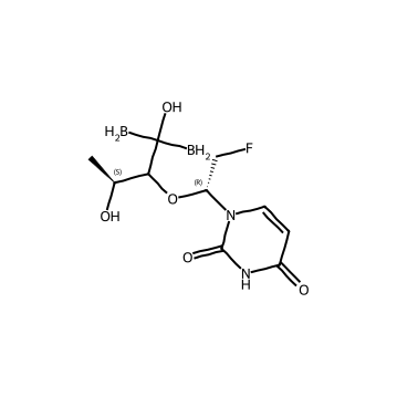 BC(B)(O)C(O[C@H](CF)n1ccc(=O)[nH]c1=O)[C@H](C)O